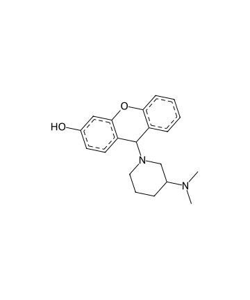 CN(C)C1CCCN(C2c3ccccc3Oc3cc(O)ccc32)C1